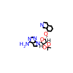 CC1(C)O[C@@H]2[C@H](O1)[C@@H](COc1cccc3ccncc13)O[C@H]2n1ccc2c(N)ncnc21